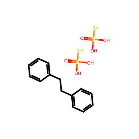 O=P(O)(O)S.O=P(O)(O)S.c1ccc(CCc2ccccc2)cc1